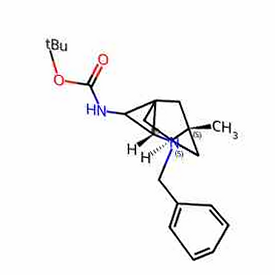 CC(C)(C)OC(=O)NC1[C@H]2N(Cc3ccccc3)C3[C@H]4CC12C[C@]34C